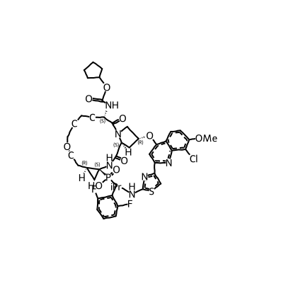 COc1ccc2c(O[C@@H]3C[C@H]4C(=O)N[C@]5(P(=O)(O)Cc6c(F)cccc6F)C[C@H]5CCOCCCC[C@H](NC(=O)OC5CCCC5)C(=O)N4C3)cc(-c3csc(NC(C)C)n3)nc2c1Cl